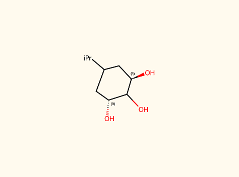 CC(C)C1C[C@@H](O)C(O)[C@H](O)C1